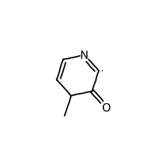 CC1C=CN=[C]C1=O